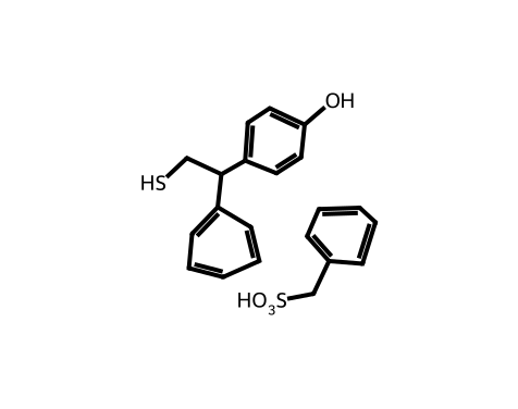 O=S(=O)(O)Cc1ccccc1.Oc1ccc(C(CS)c2ccccc2)cc1